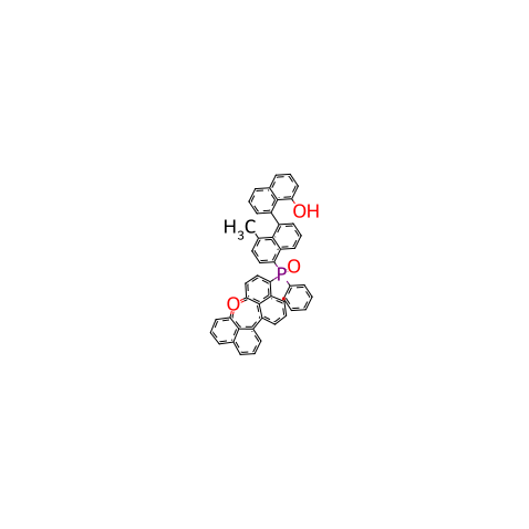 Cc1ccc(P(=O)(c2ccccc2)c2ccc3oc4cccc5cccc(c6cccc2c36)c54)c2cccc(-c3cccc4cccc(O)c34)c12